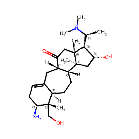 C[C@@H]([C@H]1[C@H](O)C[C@@]2(C)[C@@H]3CC[C@@H]4C(=CC[C@H](N)[C@@]4(C)CO)C[C@@H]3C(=O)C[C@]12C)N(C)C